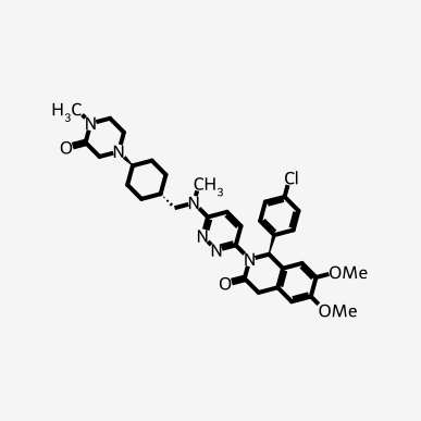 COc1cc2c(cc1OC)[C@H](c1ccc(Cl)cc1)N(c1ccc(N(C)C[C@H]3CC[C@H](N4CCN(C)C(=O)C4)CC3)nn1)C(=O)C2